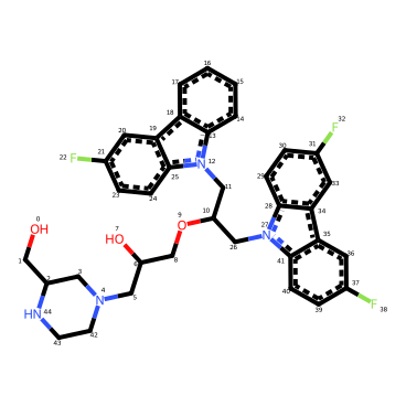 OCC1CN(CC(O)COC(Cn2c3ccccc3c3cc(F)ccc32)Cn2c3ccc(F)cc3c3cc(F)ccc32)CCN1